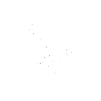 CC(C(=O)[C@@H](N)CC(=O)OCc1ccccc1)C(NCCC(C)(C)C)C(=O)O